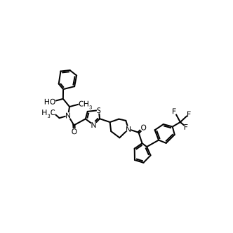 CCN(C(=O)c1csc(C2CCN(C(=O)c3ccccc3-c3ccc(C(F)(F)F)cc3)CC2)n1)C(C)C(O)c1ccccc1